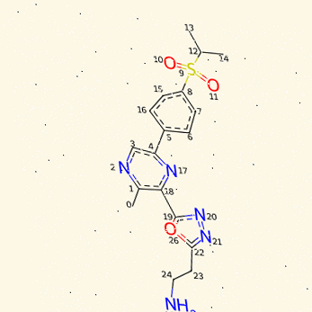 Cc1ncc(-c2ccc(S(=O)(=O)C(C)C)cc2)nc1-c1nnc(CCN)o1